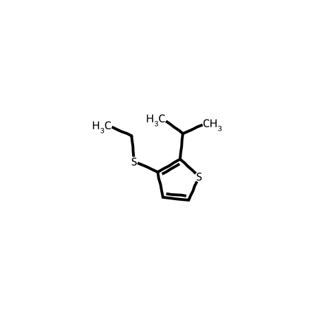 CCSc1ccsc1C(C)C